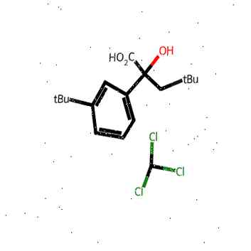 CC(C)(C)CC(O)(C(=O)O)c1cccc(C(C)(C)C)c1.ClC(Cl)Cl